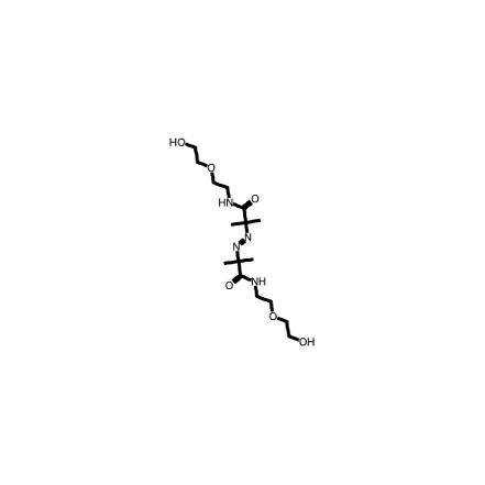 CC(C)(N=NC(C)(C)C(=O)NCCOCCO)C(=O)NCCOCCO